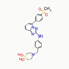 CS(=O)(=O)c1ccc(-c2cccc3nc(Nc4ccc(CN5CCS(O)(O)CC5)cc4)nn23)cc1